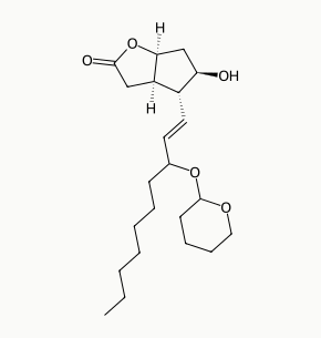 CCCCCCCC(C=C[C@@H]1[C@H]2CC(=O)O[C@H]2C[C@H]1O)OC1CCCCO1